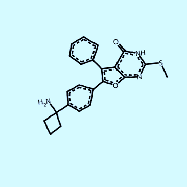 CSc1nc2oc(-c3ccc(C4(N)CCC4)cc3)c(-c3ccccc3)c2c(=O)[nH]1